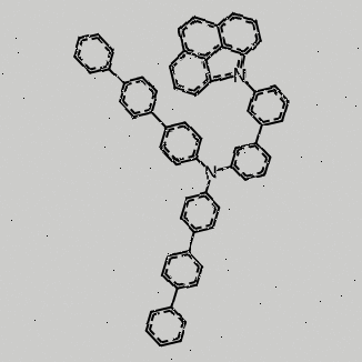 c1ccc(-c2ccc(-c3ccc(N(c4ccc(-c5ccc(-c6ccccc6)cc5)cc4)c4cccc(-c5cccc(-n6c7cccc8ccc9cccc6c9c87)c5)c4)cc3)cc2)cc1